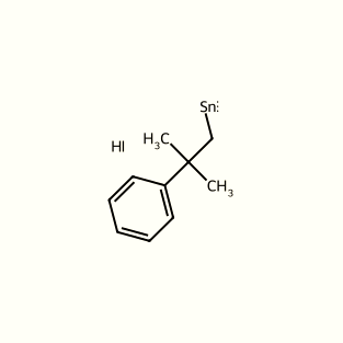 CC(C)([CH2][Sn])c1ccccc1.I